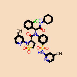 N#Cc1ccnc(NS(=O)(=O)c2cccc(N(C(=O)[C@@H]3CCS(=O)(=O)N3c3cc(C#N)ccn3)[C@H](C(=O)NC3CCCCC3)c3ccccc3Cl)c2)c1